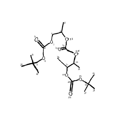 CC(COC(=O)OC(C)(C)C)OC(=O)OC(C)C(C)OC(=O)OC(C)(C)C